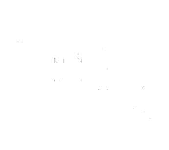 COC(=O)[C@H](Cc1ccco1)NC(=O)c1cc2ccc(Oc3ccc(C(C)(C)C)cc3)cc2c(CC2CCCC2)n1